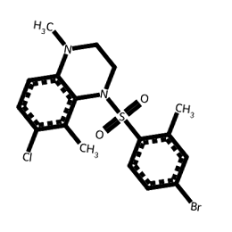 Cc1cc(Br)ccc1S(=O)(=O)N1CCN(C)c2ccc(Cl)c(C)c21